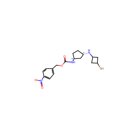 O=C(N[C@H]1CC[C@H](NC2CC(S)C2)C1)OCc1ccc([N+](=O)[O-])cc1